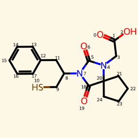 O=C(O)CN1C(=O)N(C(CS)Cc2ccccc2)C(=O)C12CCCC2